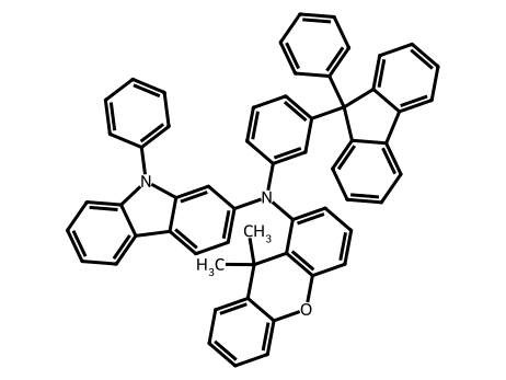 CC1(C)c2ccccc2Oc2cccc(N(c3cccc(C4(c5ccccc5)c5ccccc5-c5ccccc54)c3)c3ccc4c5ccccc5n(-c5ccccc5)c4c3)c21